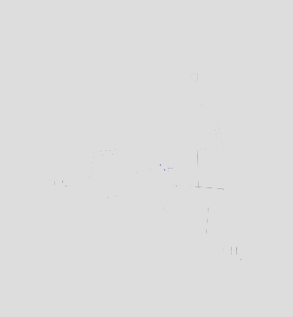 C=CC1CC1(C(=O)Nc1ccc(C)cc1)c1ccc(Cl)cc1